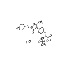 Cc1nn(CCC2CCNCC2)c(=O)n1-c1ccc(CC(NS(C)(=O)=O)C(=O)O)cc1.Cl